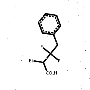 CCC(C(=O)O)C(F)(F)Cc1ccccc1